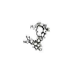 CC1CCCC(n2cnc(-c3c(N(N)/C=C(\N)C#N)ccc(Cl)c3F)cc2=O)c2cccc(c2)-c2c(cnn2C(F)F)NC1=O